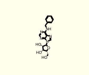 OC[C@H]1OC(n2cnc3c(NCc4ccccc4)ncnc32)[C@@H](O)[C@H]1O